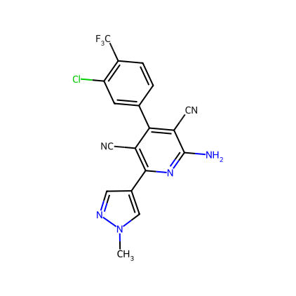 Cn1cc(-c2nc(N)c(C#N)c(-c3ccc(C(F)(F)F)c(Cl)c3)c2C#N)cn1